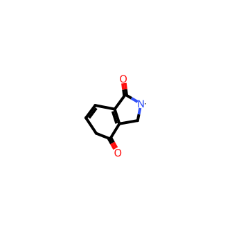 O=C1CC=CC2=C1C[N]C2=O